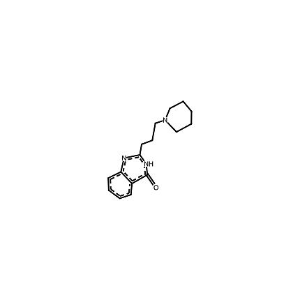 O=c1[nH]c(CCCN2CCCCC2)nc2ccccc12